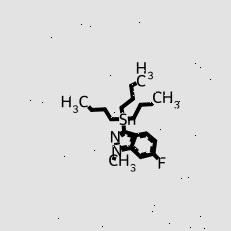 CCC[CH2][Sn]([CH2]CCC)([CH2]CCC)[c]1nn(C)c2cc(F)ccc12